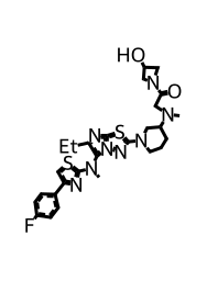 CCc1nc2sc(N3CCCC(N(C)CC(=O)N4CC(O)C4)C3)nn2c1N(C)c1nc(-c2ccc(F)cc2)cs1